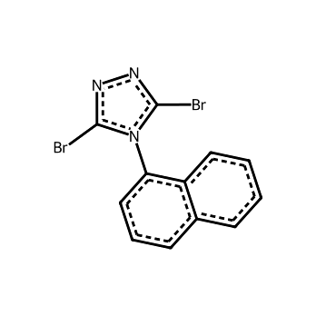 Brc1nnc(Br)n1-c1cccc2ccccc12